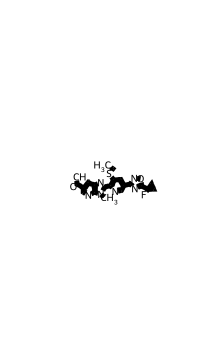 CCSc1cc(-c2noc(C3(F)CC3)n2)cnc1-c1nc2cc(C(C)=O)cnc2n1C